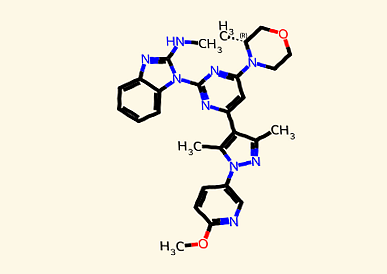 CNc1nc2ccccc2n1-c1nc(-c2c(C)nn(-c3ccc(OC)nc3)c2C)cc(N2CCOC[C@H]2C)n1